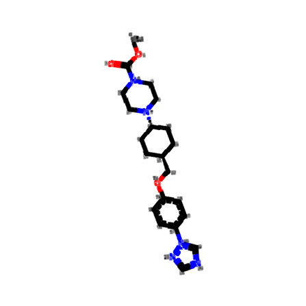 CC(C)(C)OC(=O)N1CCN([C@H]2CC[C@H](COc3ccc(-n4cncn4)cc3)CC2)CC1